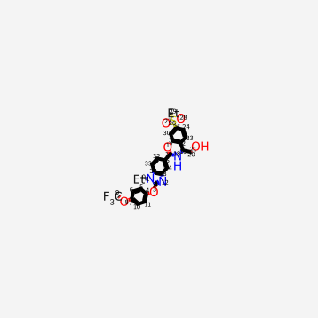 CCn1c(Oc2ccc(OC(F)(F)F)cc2)nc2cc(C(=O)NC(CO)c3ccc(S(=O)(=O)CC)cc3)ccc21